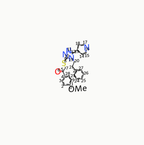 COc1ccc(C(=O)CSc2nnc(-c3ccncc3)n2CCc2ccccc2)cc1